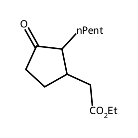 CCCCCC1C(=O)CCC1CC(=O)OCC